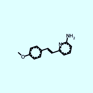 COc1ccc(/C=C/c2cccc(N)n2)cc1